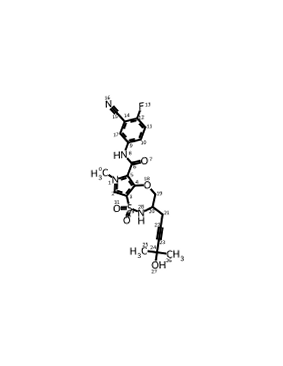 Cn1cc2c(c1C(=O)Nc1ccc(F)c(C#N)c1)OCC(CC#CC(C)(C)O)NS2(=O)=O